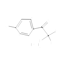 O=C(c1ccc(Cl)cc1)C(F)(F)F.[PbH2]